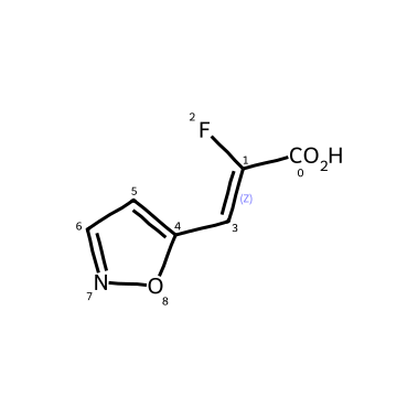 O=C(O)/C(F)=C/c1ccno1